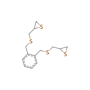 c1ccc(CSCC2CS2)c(CSCC2CS2)c1